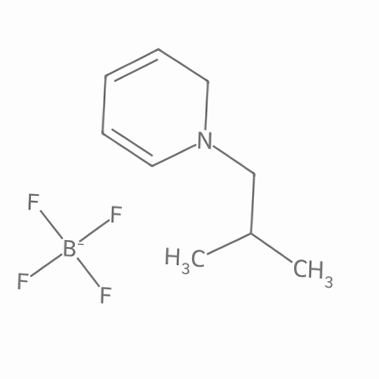 CC(C)CN1C=CC=CC1.F[B-](F)(F)F